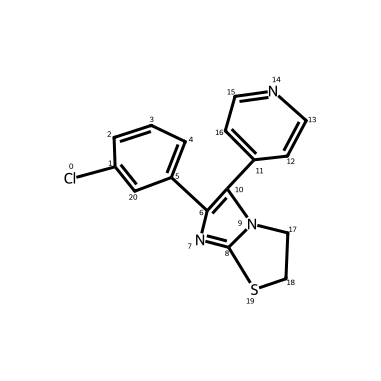 Clc1cccc(-c2nc3n(c2-c2ccncc2)CCS3)c1